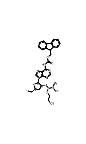 [2H]C[C@@H]1C[C@H](OP(OCCC#N)N(C(C)C)C(C)C)[C@H](n2cnc3c(NC(=O)OCC4c5ccccc5-c5ccccc54)ncnc32)O1